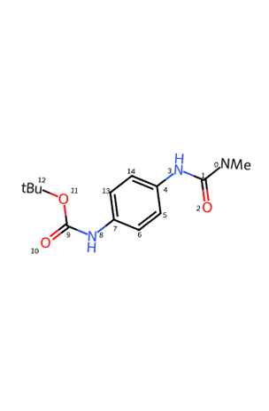 CNC(=O)Nc1ccc(NC(=O)OC(C)(C)C)cc1